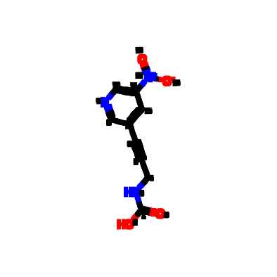 O=C(O)NCC#Cc1cncc([N+](=O)[O-])c1